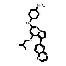 CC(=O)NC1CCC(Nc2nc(OCC(F)F)c3c(-c4ccc5nccnc5c4)ccn3n2)CC1